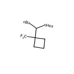 CCCCCCC(CCCC)C1(C(F)(F)F)CCC1